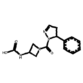 O=C(O)NC1CN(C(=O)N2N=CCC2c2ccccc2)C1